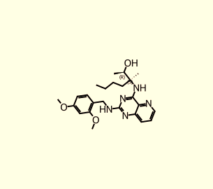 CCCC[C@](C)(Nc1nc(NCc2ccc(OC)cc2OC)nc2cccnc12)[C@@H](C)O